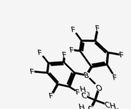 CC(C)(C)OB(c1c(F)c(F)c(F)c(F)c1F)c1c(F)c(F)c(F)c(F)c1F